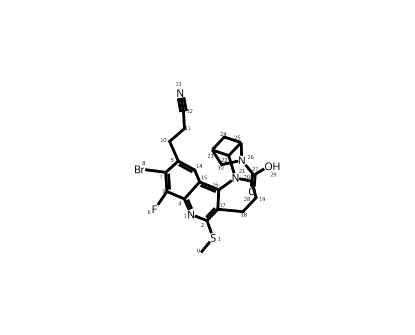 CSc1nc2c(F)c(Br)c(CCC#N)cc2c2c1CCCN2C1C2CC1N(C(=O)O)C2